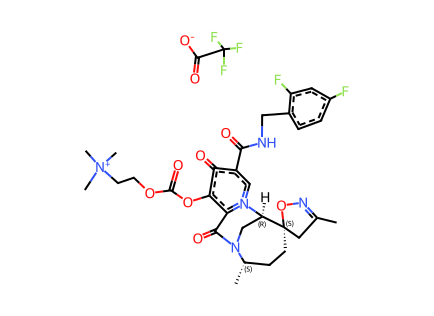 CC1=NO[C@@]2(CC[C@H](C)N3C[C@H]2n2cc(C(=O)NCc4ccc(F)cc4F)c(=O)c(OC(=O)OCC[N+](C)(C)C)c2C3=O)C1.O=C([O-])C(F)(F)F